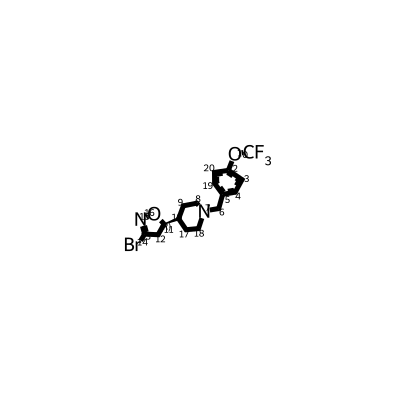 FC(F)(F)Oc1ccc(CN2CCC([C@H]3CC(Br)=NO3)CC2)cc1